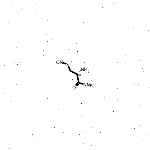 CNC(=O)[C@@H](N)CSN=O